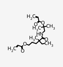 C=CC(=O)OCCCC(C)(CC)C(=O)NCC(C)(C)OC(=O)C=C